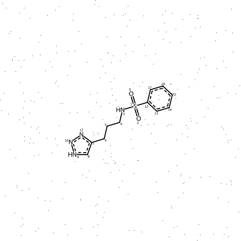 O=S(=O)(NCCCc1c[nH]nn1)c1ccccc1